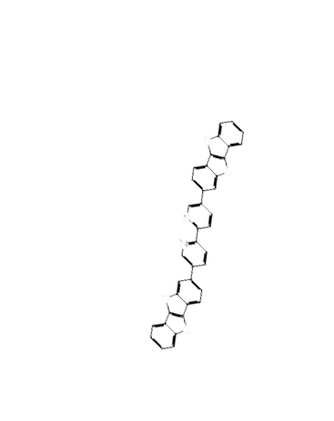 c1ccc2c(c1)sc1c3ccc(-c4ccc(-c5ccc(-c6ccc7c(c6)sc6c8ccccc8sc76)cn5)nc4)cc3sc21